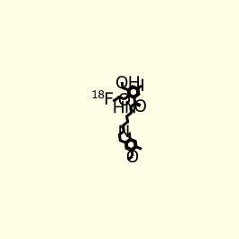 COc1cc2c(cc1C)CN(CCCCNC(=O)c1cc(I)cc(CO)c1OCC[18F])CC2